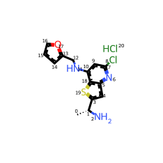 C[C@@H](N)c1cc2nc(Cl)cc(NCc3ccco3)c2s1.Cl